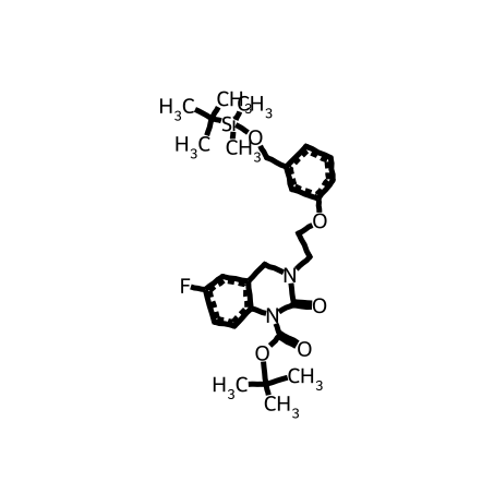 CC(C)(C)OC(=O)N1C(=O)N(CCOc2cccc(CO[Si](C)(C)C(C)(C)C)c2)Cc2cc(F)ccc21